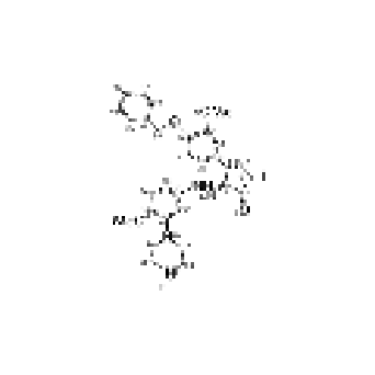 COc1cc(C2=NNC(=O)/C2=N/Nc2ccc(OC)c(N3CCN(C)CC3)c2)ccc1OCc1ccccc1